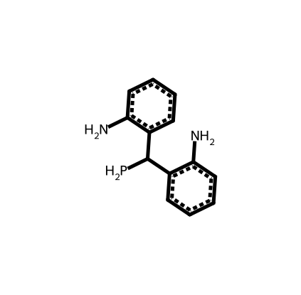 Nc1ccccc1C(P)c1ccccc1N